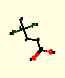 CC(F)(F)CCC([O])=O